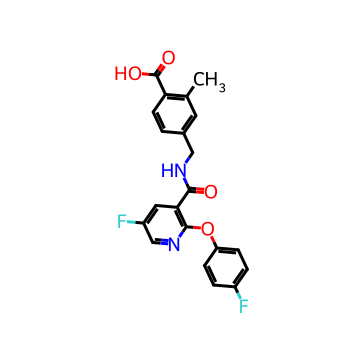 Cc1cc(CNC(=O)c2cc(F)cnc2Oc2ccc(F)cc2)ccc1C(=O)O